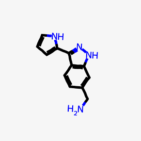 NCc1ccc2c(-c3ccc[nH]3)n[nH]c2c1